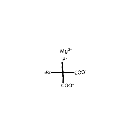 CCCCC(C(=O)[O-])(C(=O)[O-])C(C)C.[Mg+2]